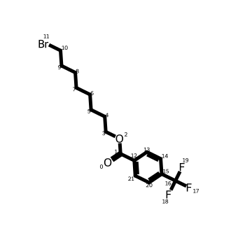 O=C(OCCCCCCCCBr)c1ccc(C(F)(F)F)cc1